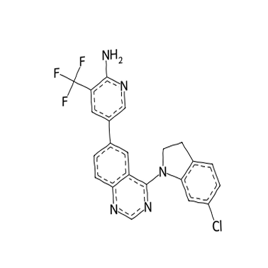 Nc1ncc(-c2ccc3ncnc(N4CCc5ccc(Cl)cc54)c3c2)cc1C(F)(F)F